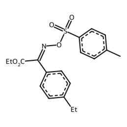 CCOC(=O)C(=NOS(=O)(=O)c1ccc(C)cc1)c1ccc(CC)cc1